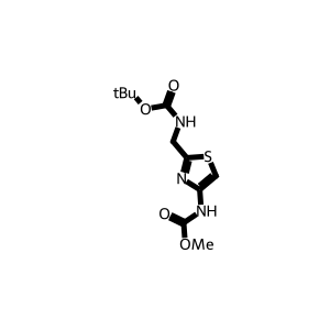 COC(=O)Nc1csc(CNC(=O)OC(C)(C)C)n1